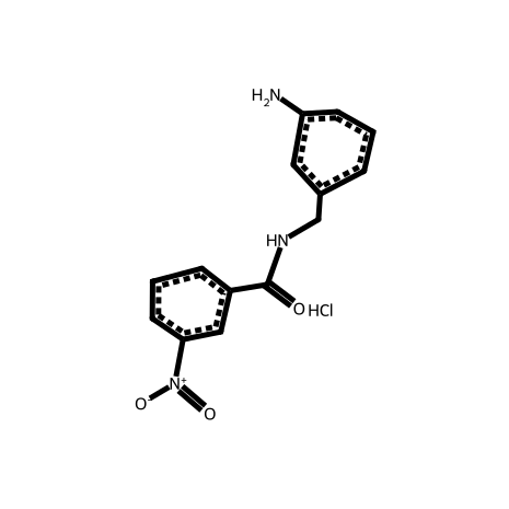 Cl.Nc1cccc(CNC(=O)c2cccc([N+](=O)[O-])c2)c1